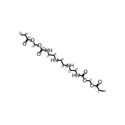 CCC(=O)OCOC(=O)NCCNCCNCCNC(=O)OCOC(=O)CC